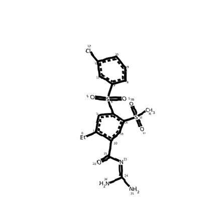 CCc1cc(S(=O)(=O)c2cccc(Cl)c2)c(S(C)(=O)=O)cc1C(=O)N=C(N)N